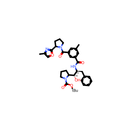 Cc1cc(C(=O)N[C@@H](Cc2ccccc2)[C@H](O)C2CCCN2C(=O)OC(C)(C)C)cc(C(=O)N2CCCC2c2nc(C)co2)c1